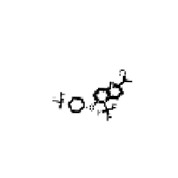 CC(=O)c1ccc2c(C(F)(F)F)c(O[C@H]3CC[C@@H](C(F)(F)F)CC3)ccc2n1